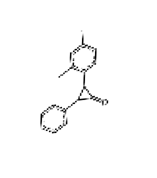 Cc1ccc(C2C(=O)C2c2ccccc2)c(C)c1